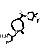 C=C1/C=C\C(C(=O)N2CCC(C)(OC)CC2)=C/C/C=C\N1C/C(=C/F)CN